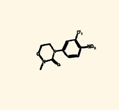 CN1OCCN(c2ccc([N+](=O)[O-])c(C(F)(F)F)c2)C1=O